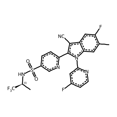 Cc1cc2c(cc1F)c(C#N)c(-c1ccc(S(=O)(=O)N[C@@H](C)C(F)(F)F)cn1)n2-c1cc(F)ccn1